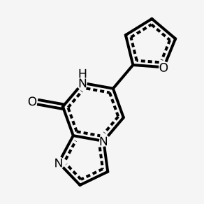 O=c1[nH]c(-c2ccco2)cn2ccnc12